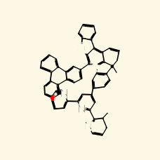 CC1CC=CN=C1c1cc(-c2ccc(C3(C)CC=Cc4c3nc(-c3ccc5c6ccccc6c6ccccc6c5c3)c3oc5ccccc5c43)cc2)cc(-c2ccccn2)n1